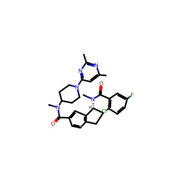 Cc1cc(N2CCC(N(C)C(=O)c3ccc4c(c3)[C@H](N(C)C(=O)c3cc(F)ccc3Cl)CC4)CC2)nc(C)n1